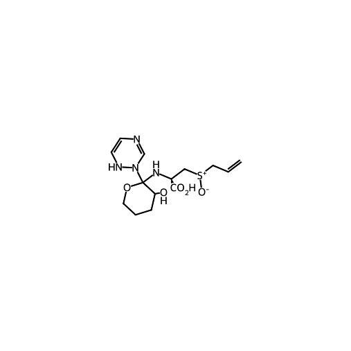 C=CC[S+]([O-])C[C@H](NC1(N2C=NC=CN2)OCCCC1O)C(=O)O